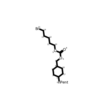 CCCCCC1CCC(COC(=O)OCCCCCBr)CC1